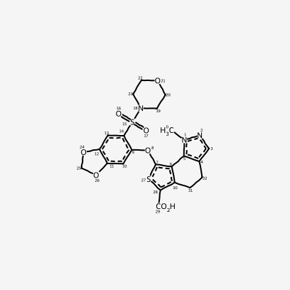 Cn1ncc2c1-c1c(Oc3cc4c(cc3S(=O)(=O)N3CCOCC3)OCO4)sc(C(=O)O)c1CC2